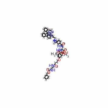 Cc1cc(OCCCC(=O)NCCNC(=O)OCc2ccccc2)cc(C)c1S(=O)(=O)N[C@@H](CNC(=O)c1ccc2c(cnn2CCCNc2nccn2C(c2ccccc2)(c2ccccc2)c2ccccc2)c1)C(=O)O